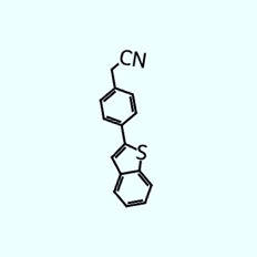 N#CCc1ccc(-c2cc3ccccc3s2)cc1